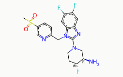 CS(=O)(=O)c1ccc(Cn2c(N3CC[C@@H](F)[C@H](N)C3)nc3cc(F)c(F)cc32)nc1